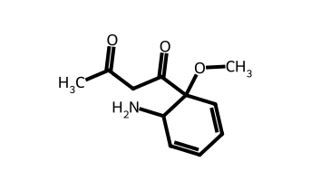 COC1(C(=O)CC(C)=O)C=CC=CC1N